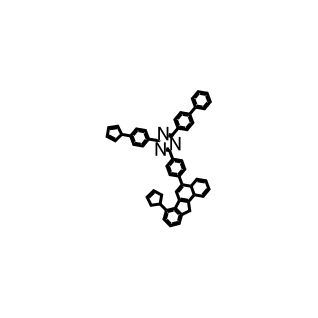 C1=CC(c2ccc(-c3nc(-c4ccc(C5=CC6=C(Cc7cccc(C8CC=CC8)c76)C6C=CC=CC56)cc4)nc(-c4ccc(-c5ccccc5)cc4)n3)cc2)C=C1